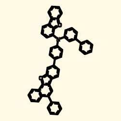 c1ccc(-c2cccc(N(c3ccc(-c4ccc5c(c4)oc4c6ccccc6c(-c6ccccc6)cc54)cc3)c3cccc4c3oc3ccccc34)c2)cc1